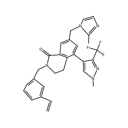 C=Cc1cccc(CN2CCc3c(cc(Cn4ccnc4C)cc3-c3cn(C)nc3C(F)(F)F)C2=O)c1